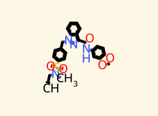 C#CCN(C)S(=O)(=O)c1ccc(Cn2nc(C(=O)Nc3ccc4c(c3)OCO4)c3ccccc32)cc1